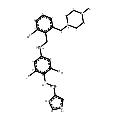 CN1CCN(Cc2cccc(F)c2CNc2cc(F)c(SNc3cscn3)c(F)c2)CC1